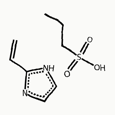 C=Cc1ncc[nH]1.CCCS(=O)(=O)O